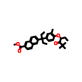 CCC(Oc1ccc(C(CC)(CC)c2ccc3cc(C(=O)OC)ccc3c2)cc1C)C(=O)C(C)(C)C